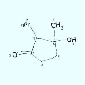 CCCC1C(=O)CCC1(C)O